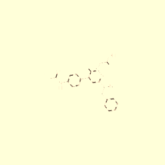 COC(=O)Nc1ccc(-c2cc([C@@H](N)Cc3ccccc3)nn(CC(=O)O)c2=O)cc1